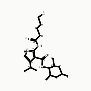 CC1CC(C)C(OC(=O)c2c(C(C)C)c[nH]c2NC(=O)CCCCCl)C(C)C1